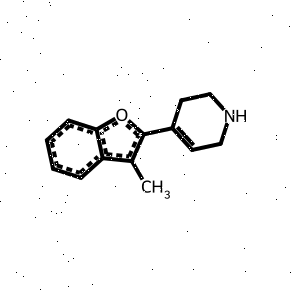 Cc1c(C2=CCNCC2)oc2ccccc12